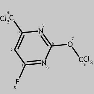 Fc1cc(C(Cl)(Cl)Cl)nc(OC(Cl)(Cl)Cl)n1